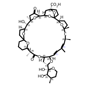 CC1=C/[C@H](C)C[C@@]2(C)CC[C@@H](O2)C23CC[C@](C(=O)O)(C[C@@H](O2)[C@H]2O[C@](C)(CC2=O)[C@@H](O)[C@@H]2CCC4(CCC[C@H](O4)[C@@H](C)C(=O)O[C@@H]4C[C@@H]([C@@]5(O)OCC[C@@H](C)[C@H]5O)O[C@@H]4\C=C\1)O2)O3